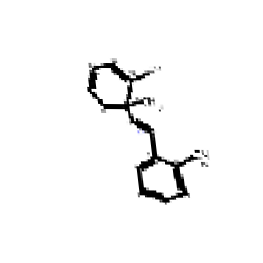 CC1(/C=C/c2ccccc2C#N)CC=CC=C1F